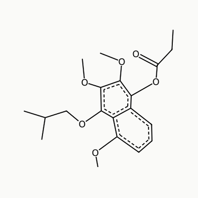 CCC(=O)Oc1c(OC)c(OC)c(OCC(C)C)c2c(OC)cccc12